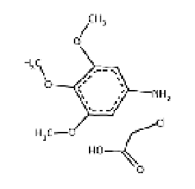 COc1cc(N)cc(OC)c1OC.O=C(O)CCl